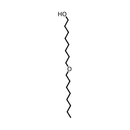 CCCCCCCCOCCCCCCCCO